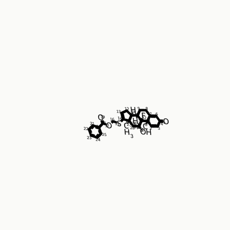 C[C@]12C=CC(=O)C=C1CC[C@H]1[C@@H]3CC=C(SCOC(=O)c4ccccc4)[C@@]3(C)C[C@H](O)C12F